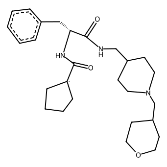 O=C(N[C@H](Cc1ccccc1)C(=O)NCC1CCN(CC2CCOCC2)CC1)[C]1CCCC1